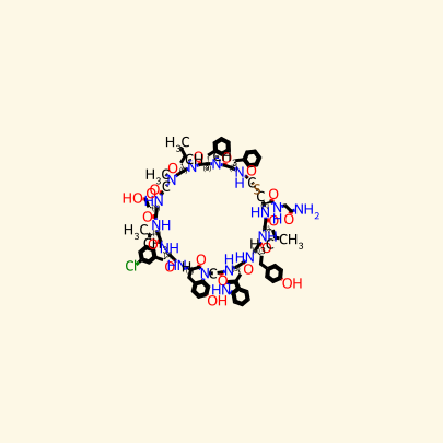 CCCC[C@H]1C(=O)N(C)CC(=O)N[C@@H](CC(=O)O)C(=O)N[C@@H](C(C)C)C(=O)N[C@@H](Cc2cccc(Cl)c2)C(=O)N[C@H]2Cc3ccc(O)cc3N(CC(=O)N[C@@H](Cc3c[nH]c4ccccc34)C(=O)N[C@@H](CCc3ccc(O)cc3)C(=O)N[C@@H](CC(C)C)C(=O)N[C@H](C(=O)NCC(N)=O)CSCC(=O)N[C@@H](Cc3ccccc3)C(=O)N(C)[C@@H](Cc3ccccc3)C(=O)N1C)C2=O